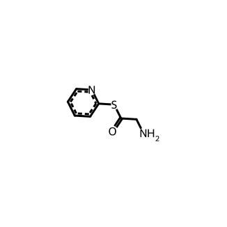 NCC(=O)Sc1ccccn1